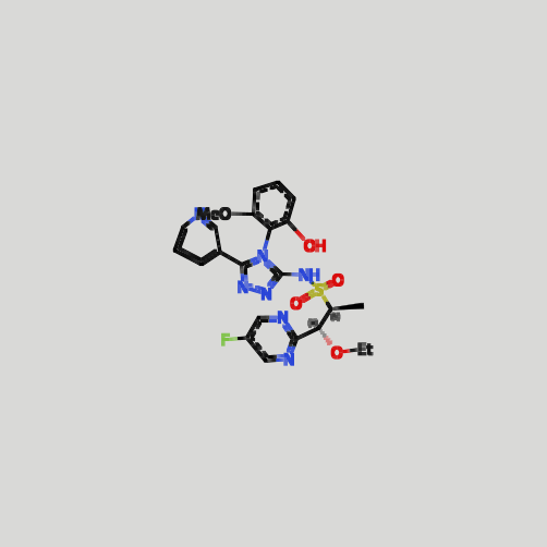 CCO[C@H](c1ncc(F)cn1)[C@H](C)S(=O)(=O)Nc1nnc(C2=C=C=CN=C2)n1-c1c(O)cccc1OC